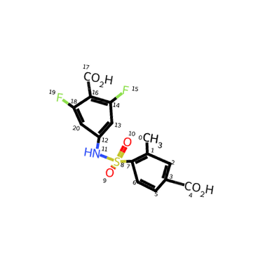 Cc1cc(C(=O)O)ccc1S(=O)(=O)Nc1cc(F)c(C(=O)O)c(F)c1